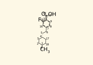 C[C@H]1CC[C@H](CCc2ccc(C(=O)O)c(F)c2)CC1